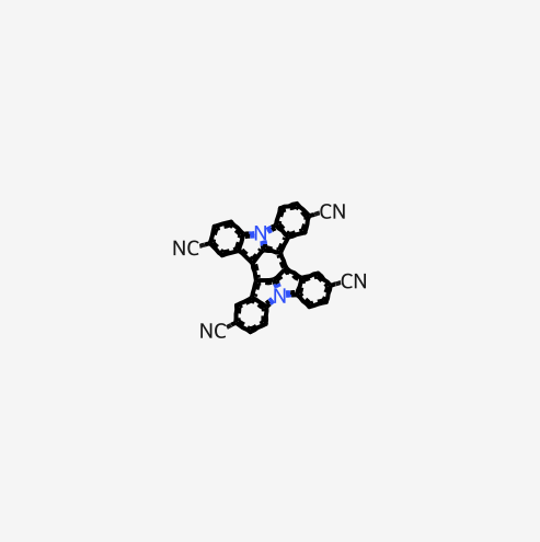 N#Cc1ccc2c(c1)c1c3c4cc(C#N)ccc4n4c5ccc(C#N)cc5c(c5c6cc(C#N)ccc6n2c15)c34